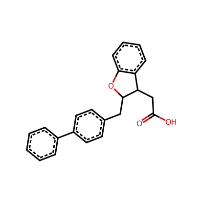 O=C(O)CC1c2ccccc2OC1Cc1ccc(-c2ccccc2)cc1